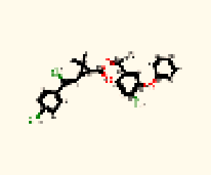 CC1(C)C(C=C(Cl)c2ccc(Cl)cc2)C1C(=O)OC(C#N)c1ccc(F)c(Oc2ccccc2)c1